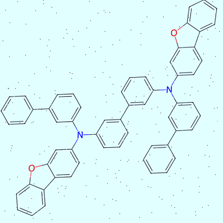 c1ccc(-c2cccc(N(c3cccc(-c4cccc(N(c5cccc(-c6ccccc6)c5)c5ccc6c(c5)oc5ccccc56)c4)c3)c3ccc4c(c3)oc3ccccc34)c2)cc1